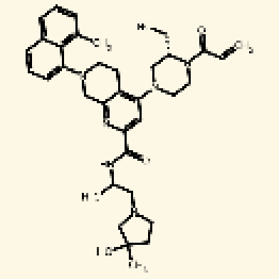 C=CC(=O)N1CCN(c2cc(C(=O)NC(C)CN3CCC(C)(O)C3)nc3c2CCN(c2cccc4cccc(C)c24)C3)C[C@@H]1CC#N